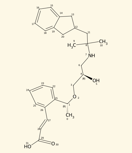 C[C@@H](OC[C@H](O)CNC(C)(C)CC1Cc2ccccc2C1)c1ccccc1C=CC(=O)O